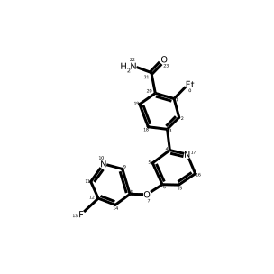 CCc1cc(-c2cc(Oc3cncc(F)c3)ccn2)ccc1C(N)=O